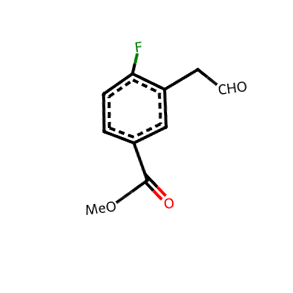 COC(=O)c1ccc(F)c(CC=O)c1